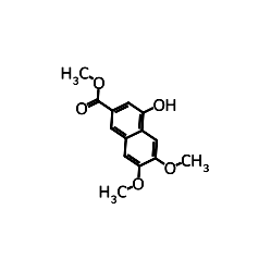 COC(=O)c1cc(O)c2cc(OC)c(OC)cc2c1